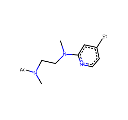 CCc1ccnc(N(C)CCN(C)C(C)=O)c1